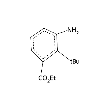 CCOC(=O)c1cccc(N)c1C(C)(C)C